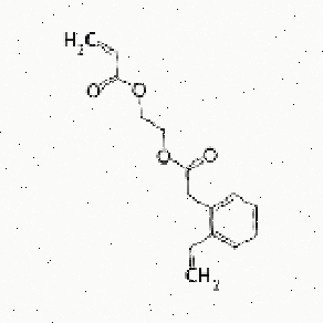 C=CC(=O)OCCOC(=O)Cc1ccccc1C=C